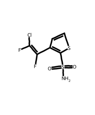 NS(=O)(=O)c1sccc1C(F)=C(F)Cl